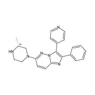 C[C@@H]1CN(c2ccc3nc(-c4ccccc4)c(-c4ccncc4)n3n2)CCN1